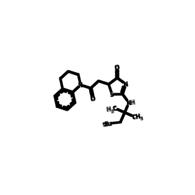 CC(C)(C)CC(C)(C)NC1=NC(=O)C(CC(=O)N2CCCc3ccccc32)S1